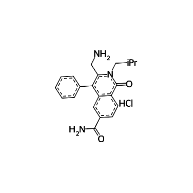 CC(C)Cn1c(CN)c(-c2ccccc2)c2cc(C(N)=O)ccc2c1=O.Cl